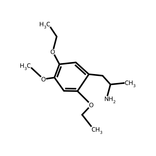 CCOc1cc(OC)c(OCC)cc1CC(C)N